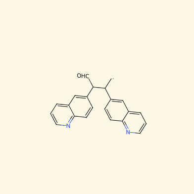 [CH2]C(c1ccc2ncccc2c1)C(C=O)c1ccc2ncccc2c1